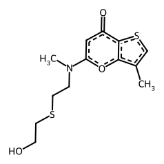 Cc1csc2c(=O)cc(N(C)CCSCCO)oc12